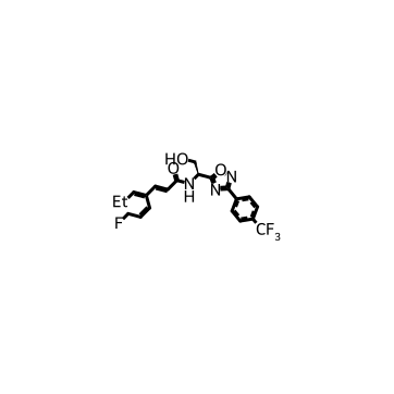 CC/C=C(\C=C/CF)/C=C/C(=O)N[C@@H](CO)c1nc(-c2ccc(C(F)(F)F)cc2)no1